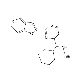 CCCCNC(c1cccc(-c2cc3ccccc3o2)n1)C1CCCCC1